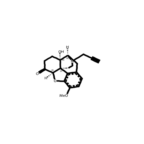 C#CCN1CC[C@]23c4c5ccc(OC)c4O[C@H]2C(=O)CC[C@@]3(O)[C@H]1C5